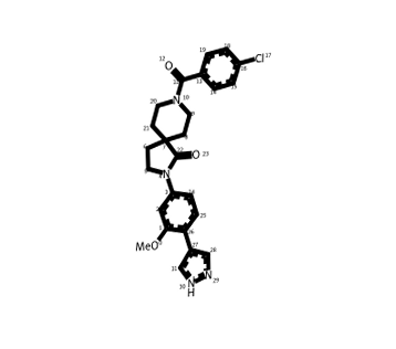 COc1cc(N2CCC3(CCN(C(=O)c4ccc(Cl)cc4)CC3)C2=O)ccc1-c1cn[nH]c1